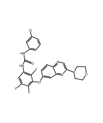 O=C(Nc1cccc(Cl)c1)Nc1cc(F)c(F)c(Oc2ccc3ncc(N4CCOCC4)nc3c2)c1F